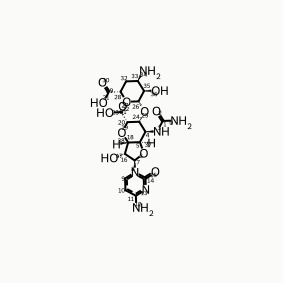 NC(=O)N[C@H]1[C@H]2O[C@@H](n3ccc(N)nc3=O)[C@H](O)[C@@H]2O[C@H](C(=O)O)[C@@H]1O[C@@H]1O[C@H](C(=O)O)C[C@@H](N)[C@H]1O